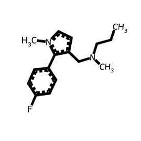 CCCN(C)Cc1ccn(C)c1-c1ccc(F)cc1